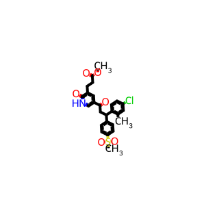 COC(=O)CCc1cc(C(=O)CC(c2ccc(S(C)(=O)=O)cc2)c2ccc(Cl)cc2C)c[nH]c1=O